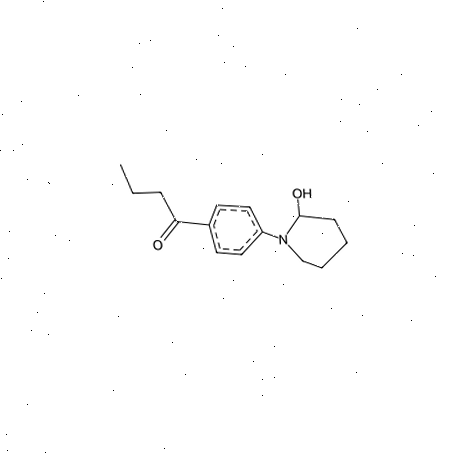 CCCC(=O)c1ccc(N2CCCCC2O)cc1